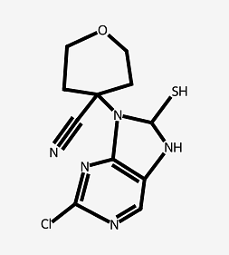 N#CC1(N2c3nc(Cl)ncc3NC2S)CCOCC1